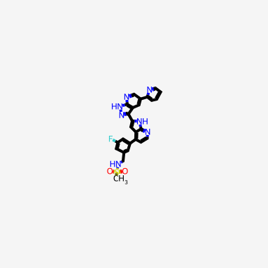 CS(=O)(=O)NCc1cc(F)cc(-c2ccnc3[nH]c(-c4n[nH]c5ncc(-c6ccccn6)cc45)cc23)c1